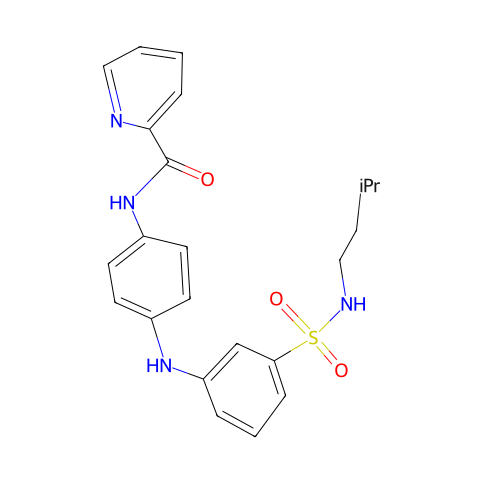 CC(C)CCNS(=O)(=O)c1cccc(Nc2ccc(NC(=O)c3ccccn3)cc2)c1